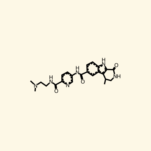 CC1CNC(=O)c2[nH]c3ccc(C(=O)Nc4ccc(C(=O)NCCN(C)C)nc4)cc3c21